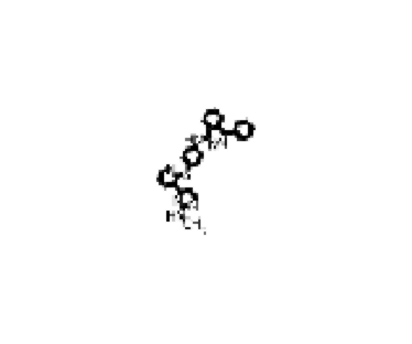 CNc1nccc(-c2cccnc2Sc2ccc(Nc3nnc(-c4ccccc4)c4ccccc34)cc2)n1